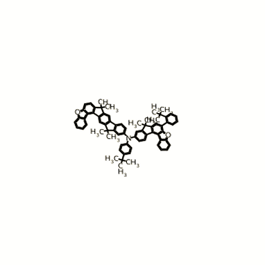 CC(C)(C)c1ccc(N(c2ccc3c(c2)C(C)(C)c2cc4c(cc2-3)C(C)(C)c2ccc3oc5ccccc5c3c2-4)c2ccc3c(c2)C(C)(C)c2cc(-c4ccccc4C(C)(C)C)c4oc5ccccc5c4c2-3)cc1